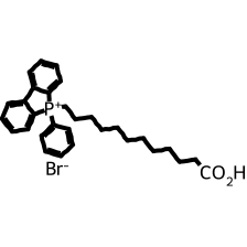 O=C(O)CCCCCCCCCCC[P+]1(c2ccccc2)c2ccccc2-c2ccccc21.[Br-]